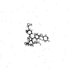 C#Cc1ccc(-n2nc3c(=O)[nH]nc(N)c3c2-c2ccc(OC3CCCCC3)cc2)cn1